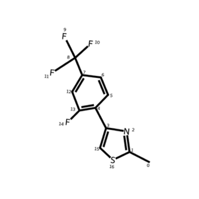 Cc1nc(-c2ccc(C(F)(F)F)cc2F)cs1